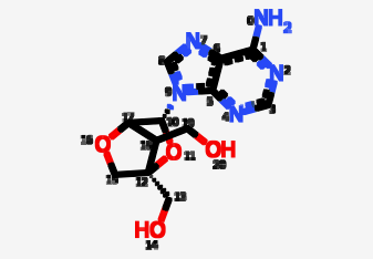 Nc1ncnc2c1ncn2[C@@H]1O[C@@]2(CO)COC1C2CO